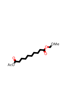 COCOC(=O)CCCCCCCCC(=O)OC(C)=O